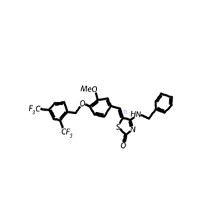 COc1cc(/C=C2\SC(=O)N=C2NCc2ccccc2)ccc1OCc1ccc(C(F)(F)F)cc1C(F)(F)F